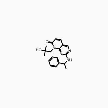 CC(Nc1ncc2ccc(=O)n(CC(C)(C)O)c2n1)c1ccccc1